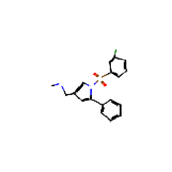 CNCc1cc(-c2ccccc2)n(S(=O)(=O)c2cccc(Cl)c2)c1.Cl